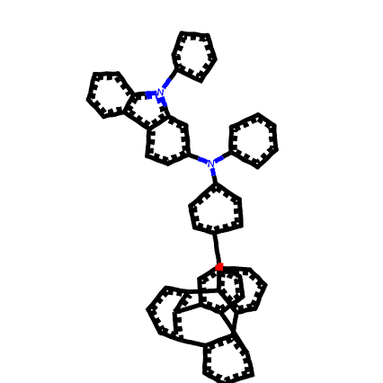 c1ccc(N(c2ccc(-c3ccc4c(c3)-c3c5cccc3-c3cccc-4c3-c3ccccc3-5)cc2)c2ccc3c4ccccc4n(-c4ccccc4)c3c2)cc1